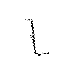 CCCCC/C=C\C/C=C\CCCCCCCCOC(=O)OCCCCCCCCCCCCCCCCCC